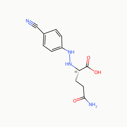 N#Cc1ccc(NN[C@@H](CCC(N)=O)C(=O)O)cc1